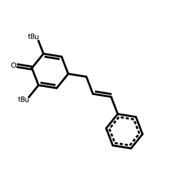 CC(C)(C)C1=CC(CC=Cc2ccccc2)C=C(C(C)(C)C)C1=O